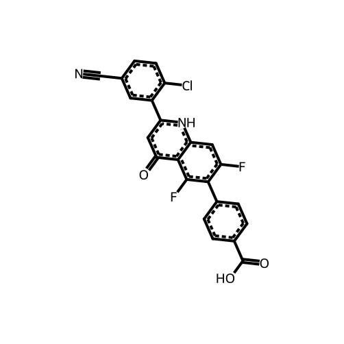 N#Cc1ccc(Cl)c(-c2cc(=O)c3c(F)c(-c4ccc(C(=O)O)cc4)c(F)cc3[nH]2)c1